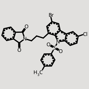 Cc1ccc(S(=O)(=O)n2c3ccc(Cl)cc3c3cc(Br)cc(CCCN4C(=O)c5ccccc5C4=O)c32)cc1